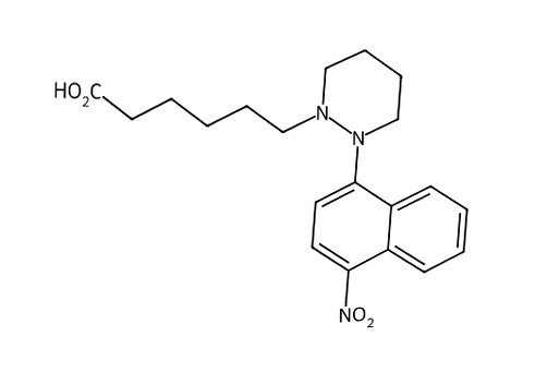 O=C(O)CCCCCN1CCCCN1c1ccc([N+](=O)[O-])c2ccccc12